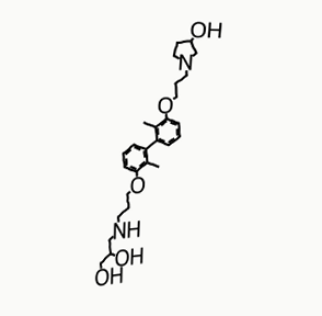 Cc1c(OCCCNCC(O)CO)cccc1-c1cccc(OCCCN2CCC(O)C2)c1C